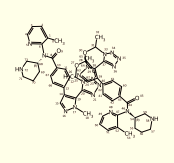 Cc1cccnc1N(C(=O)c1ccc(-c2cnn(C)c2-c2nnnn2C(C)OC(=O)OC(C)n2nnnc2-c2c(-c3ccc(C(=O)N(c4ncccc4C)[C@@H]4CCCNC4)cc3)cnn2C)cc1)[C@@H]1CCCNC1